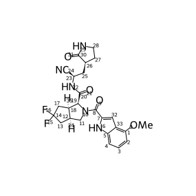 COc1cccc2[nH]c(C(=O)N3C[C@H]4CC(F)(F)C[C@H]4[C@H]3C(=O)N[C@@H](C#N)C[C@@H]3CCNC3=O)cc12